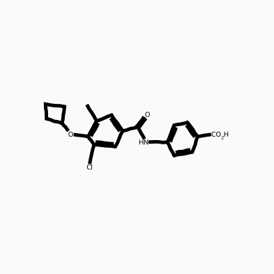 Cc1cc(C(=O)Nc2ccc(C(=O)O)cc2)cc(Cl)c1OC1CCC1